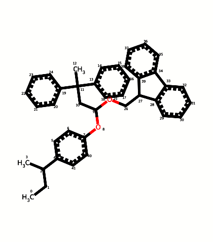 CCC(C)c1ccc(OC(CC(C)(c2ccccc2)c2ccccc2)OCC2c3ccccc3-c3ccccc32)cc1